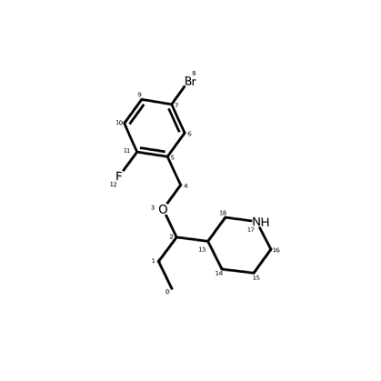 CCC(OCc1cc(Br)ccc1F)C1CCCNC1